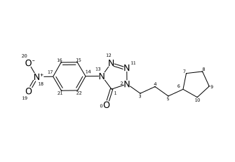 O=c1n(CCCC2CCCC2)nnn1-c1ccc([N+](=O)[O-])cc1